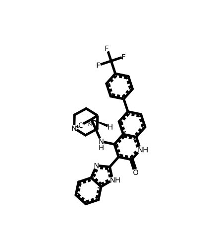 O=c1[nH]c2ccc(-c3ccc(C(F)(F)F)cc3)cc2c(N[C@@H]2CN3CCC2CC3)c1-c1nc2ccccc2[nH]1